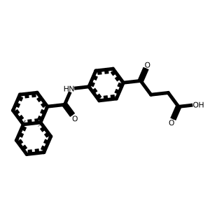 O=C(O)CCC(=O)c1ccc(NC(=O)c2cccc3ccccc23)cc1